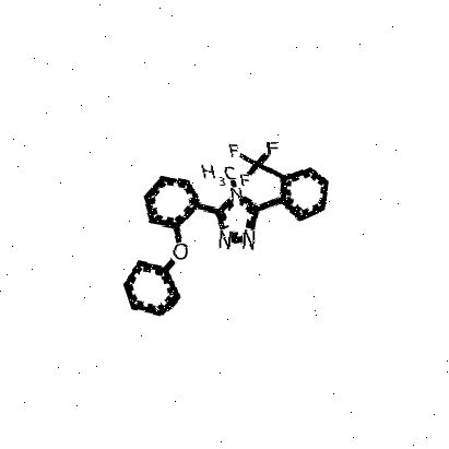 Cn1c(-c2ccccc2Oc2ccccc2)nnc1-c1ccccc1C(F)(F)F